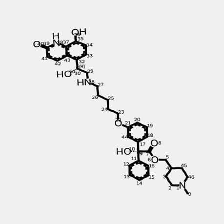 CN1CCC(COC(=O)[C@@](O)(c2ccccc2)c2cccc(OCCCCCNC[C@H](O)c3ccc(O)c4[nH]c(=O)ccc34)c2)CC1